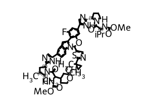 COC(=O)NC(C(=O)N1[C@H](C)[C@H](C)C[C@H]1c1ncc(-c2ccc3c(c2)cc2n3C(c3cnc(C4(C)CC4)s3)Oc3cc(-c4cnc([C@@H]5CCCN5C(=O)[C@@H](NC(=O)OC)C(C)C)[nH]4)cc(F)c3-2)[nH]1)C1CCOC(C)(C)C1